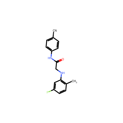 Cc1ccc(F)cc1NCC(=O)Nc1ccc(C#N)cc1